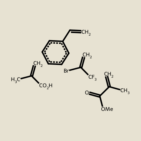 C=C(Br)C(F)(F)F.C=C(C)C(=O)O.C=C(C)C(=O)OC.C=Cc1ccccc1